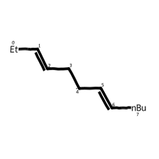 CCC=CC[CH]C=CCCCC